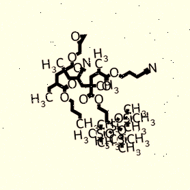 CCCCOC(=O)C(CC)CC(C)(CC(C#N)CC(C)(CC(C)C(=O)OCCCC#N)C(=O)OCCC[Si](O[Si](C)(C)C)(O[Si](C)(C)C)O[Si](C)(C)C)C(=O)OCC1CO1